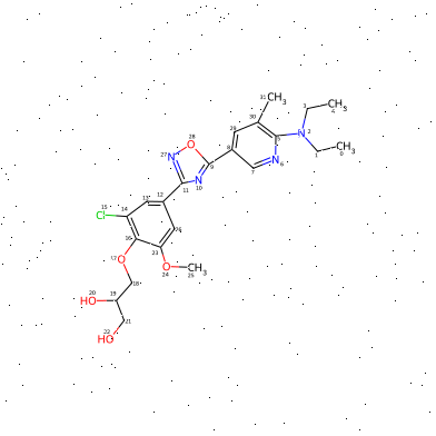 CCN(CC)c1ncc(-c2nc(-c3cc(Cl)c(OCC(O)CO)c(OC)c3)no2)cc1C